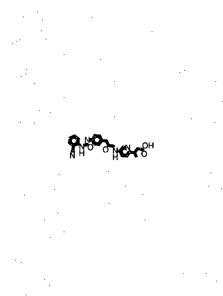 CC(CC(=O)O)c1ccc(NCC(=O)Cc2ccc3nc(Nc4ccccc4C#N)oc3c2)cn1